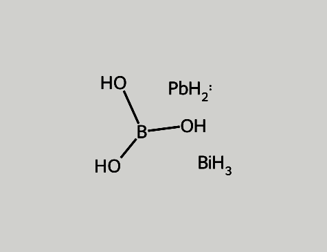 OB(O)O.[BiH3].[PbH2]